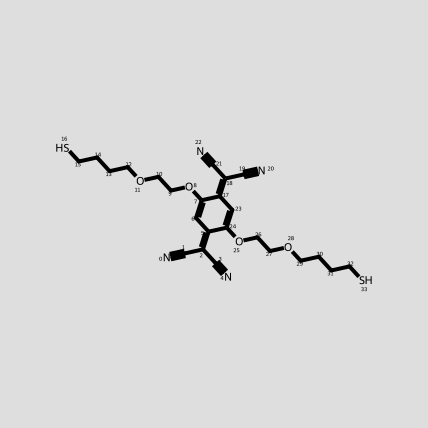 N#CC(C#N)=c1cc(OCCOCCCCS)c(=C(C#N)C#N)cc1OCCOCCCCS